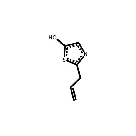 C=CCc1ncc(O)s1